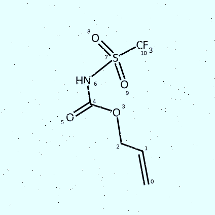 C=CCOC(=O)NS(=O)(=O)C(F)(F)F